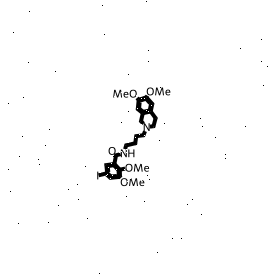 COc1cc2c(cc1OC)CN(CCCCNC(=O)c1cc(I)cc(OC)c1OC)CC2